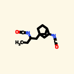 CCC(CC12CCC(C1)C(N=C=O)C2)N=C=O